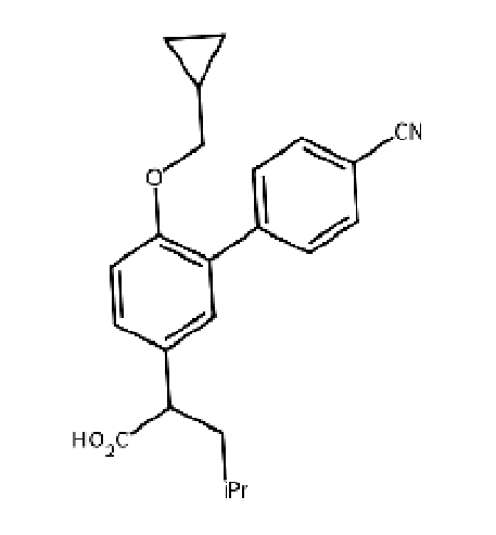 CC(C)CC(C(=O)O)c1ccc(OCC2CC2)c(-c2ccc(C#N)cc2)c1